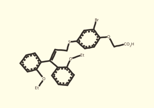 CCOc1ccccc1C(=CCSc1ccc(OCC(=O)O)c(Br)c1)c1ccccc1OCC